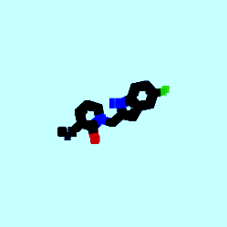 O=c1c([N+](=O)[O-])cccn1Cc1cc2cc(F)ccc2[nH]1